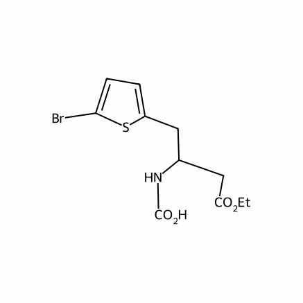 CCOC(=O)CC(Cc1ccc(Br)s1)NC(=O)O